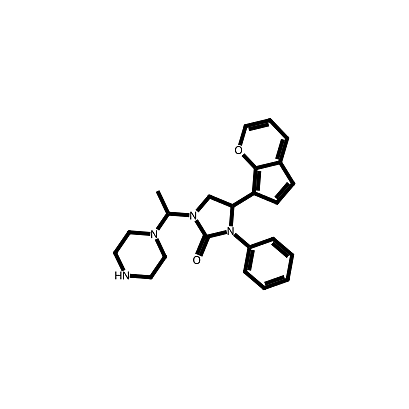 CC(N1CCNCC1)N1CC(c2ccc3cccoc2-3)N(c2ccccc2)C1=O